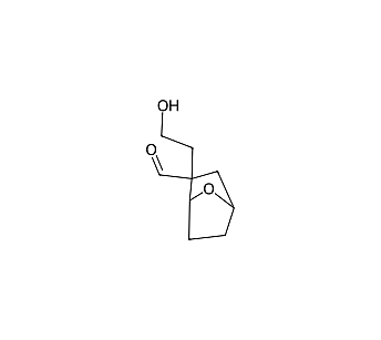 O=CC1(CCO)CC2CCC1O2